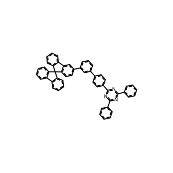 c1ccc(-c2nc(-c3ccccc3)nc(-c3ccc(-c4cccc(-c5ccc6c(c5)-c5ccccc5C65c6ccccc6-c6ccccc65)c4)cc3)n2)cc1